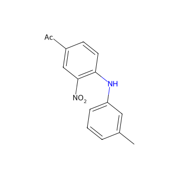 CC(=O)c1ccc(Nc2cccc(C)c2)c([N+](=O)[O-])c1